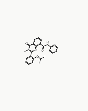 Cn1c(-c2ccccc2OC(F)F)nc2c(C(=O)Nc3ccccn3)cccc2c1=O